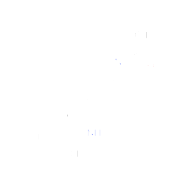 CC(=O)N1CCc2cc(NC(C)(C)C)ccc21